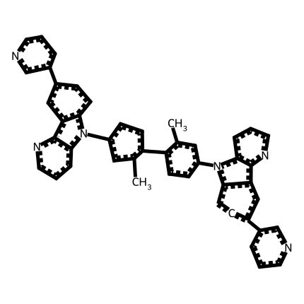 Cc1cc(-n2c3ccc(-c4cccnc4)cc3c3ncccc32)ccc1-c1ccc(-n2c3ccc(-c4cccnc4)cc3c3ncccc32)cc1C